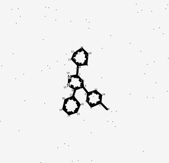 Cc1ccc(-c2cc(-c3ccccc3)nnc2-c2ccccc2)cc1